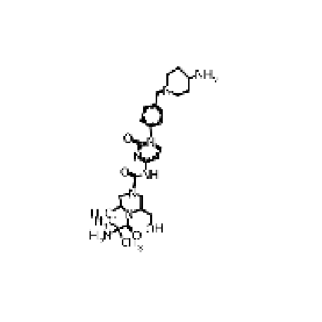 CC1CN(C(=O)Nc2ccn(-c3ccc(CN4CCC(N)CC4)cc3)c(=O)n2)CC(CO)N1C(=O)C(C)(C)N